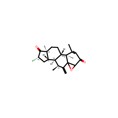 C=C1[C@@H](C)[C@H]2[C@@H]3C[C@H](F)C(=O)[C@@]3(C)CC[C@@H]2[C@@]2(C)C(C)=CC(=O)C3OC132